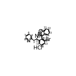 Cl.N[C@@H](Cc1ccccn1)c1cccc(Br)c1-c1noc2ccccc12